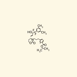 Cc1cc(C)cc(C(F)(F)[C@H](O)C=C[C@H]2CCOC(=O)N2CCCc2ccc(C(=O)OC(C)C)s2)c1